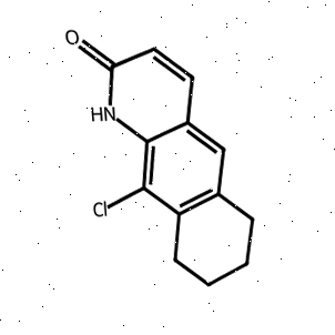 O=c1ccc2cc3c(c(Cl)c2[nH]1)CCCC3